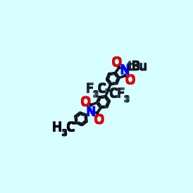 Cc1ccc(N2C(=O)c3ccc(C(c4ccc5c(c4)C(=O)N(C(C)(C)C)C5=O)(C(F)(F)F)C(F)(F)F)cc3C2=O)cc1